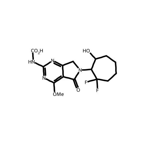 COc1nc(NC(=O)O)nc2c1C(=O)N(C1C(O)CCCCC1(F)F)C2